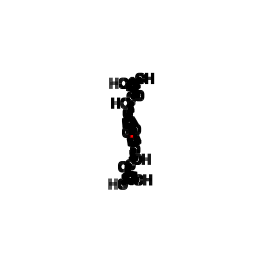 O=C(OCC(O)COc1ccc(S(=O)(=O)c2ccc(OCC(O)COC(=O)c3cc(O)cc(O)c3)cc2)cc1)c1cc(O)cc(O)c1